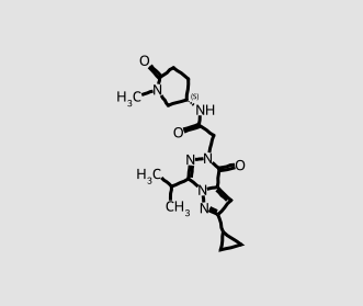 CC(C)c1nn(CC(=O)N[C@H]2CCC(=O)N(C)C2)c(=O)c2cc(C3CC3)nn12